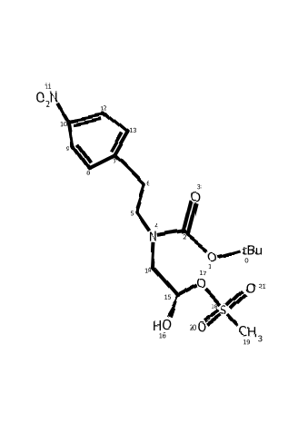 CC(C)(C)OC(=O)N(CCc1ccc([N+](=O)[O-])cc1)C[C@H](O)OS(C)(=O)=O